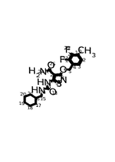 Cc1ccc(COc2nsc(NC(=O)NCC3CCCCC3)c2C(N)=O)c(F)c1F